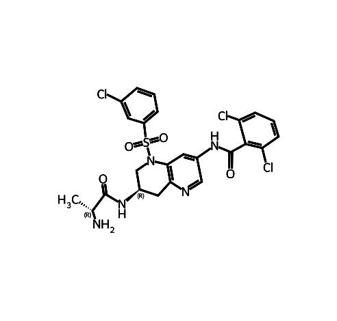 C[C@@H](N)C(=O)N[C@@H]1Cc2ncc(NC(=O)c3c(Cl)cccc3Cl)cc2N(S(=O)(=O)c2cccc(Cl)c2)C1